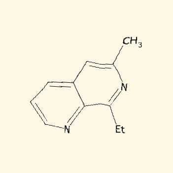 CCc1nc(C)cc2cccnc12